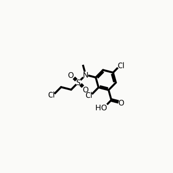 CN(c1cc(Cl)cc(C(=O)O)c1Cl)S(=O)(=O)CCCl